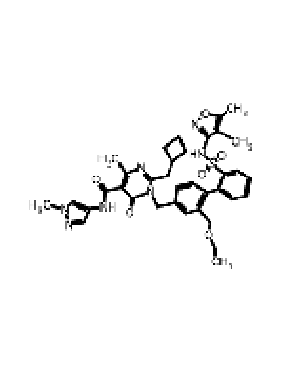 CCOCc1cc(Cn2c(CC3CCC3)nc(C)c(C(=O)Nc3cnn(C)c3)c2=O)ccc1-c1ccccc1S(=O)(=O)Nc1noc(C)c1C